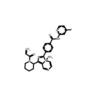 C=CC(=O)N1CCCCC1C1=C2C=NC=C[N+]2(N)C(c2ccc(C(=O)Nc3cc(F)ccn3)cc2)=N1